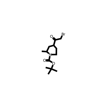 CC1CC(C(=O)CBr)CCN1C(=O)OC(C)(C)C